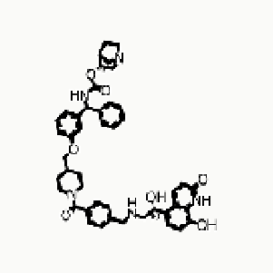 O=C(NC(c1ccccc1)c1cccc(OCC2CCN(C(=O)c3ccc(CNC[C@H](O)c4ccc(O)c5[nH]c(=O)ccc45)cc3)CC2)c1)O[C@H]1CN2CCC1C2